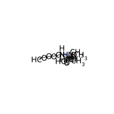 C#CCOCCOCCOCCOCNC/C=C\[C@@H]1C[C@H](C(=O)O)N[C@H]1[C@@H](NC(C)=O)[C@](C)(CCC)OC